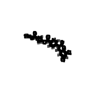 CC(C)(C)OC(=O)N1CC(OC(=O)c2ccc(N3Cc4cc(Cl)cc(Cl)c4OC3=O)cn2)C1